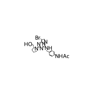 CC(=O)Nc1ccc(CNc2nc(N3CCC[C@H]3CO)nc3c(Br)cnn23)cc1